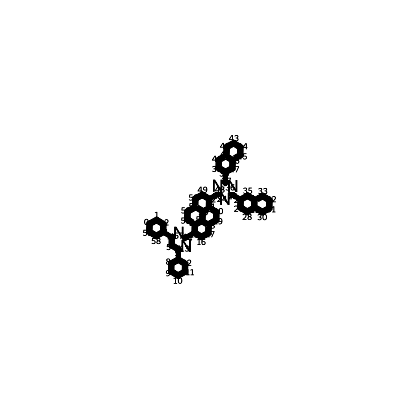 c1ccc(-c2cc(-c3ccccc3)nc(-c3ccc4ccc5c(-c6nc(-c7ccc8ccccc8c7)nc(-c7ccc8ccccc8c7)n6)ccc6ccc3c4c65)n2)cc1